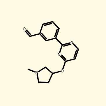 CN1CCC(Oc2ccnc(-c3cccc(C=O)c3)n2)C1